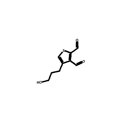 O=Cc1scc(CCCO)c1C=O